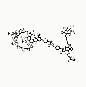 BC(C)(CC)C1CC(=O)N(CCCCCNC(=O)C2(C(=O)N[C@@H](CCCNC(N)=O)C(=O)Nc3ccc(COC(=O)NC4CCN(c5cc(O)c6nc7c8c9c%10c(C)c(O)c8c(=O)c(c-7oc6c5)NC(=O)/C(C)=C\C=C\[C@H](C)C[C@@H](C)C[C@@H](C)[C@H](OC(C)=O)[C@H](C)[C@@H](OC)/C=C/O[C@@](C)(O%10)C9=O)CC4)cc3)CCC2)C1=O